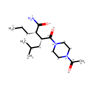 CCC[C@H](C(N)=O)[C@@H](CC(C)C)C(=O)N1CCN(C(C)=O)CC1